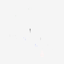 C[C@@H]1CN(C(=O)O)[C@@H](c2ccc(Cl)c(Cl)c2)CN1C(=O)C1(C(F)(F)F)CC1